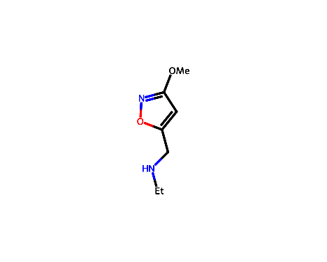 CCNCc1cc(OC)no1